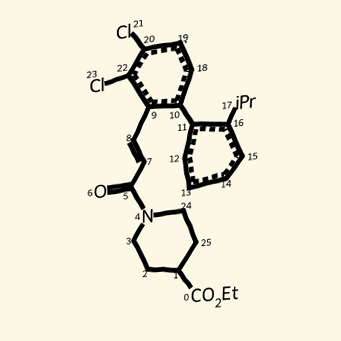 CCOC(=O)C1CCN(C(=O)/C=C/c2c(-c3ccccc3C(C)C)c[c]c(Cl)c2Cl)CC1